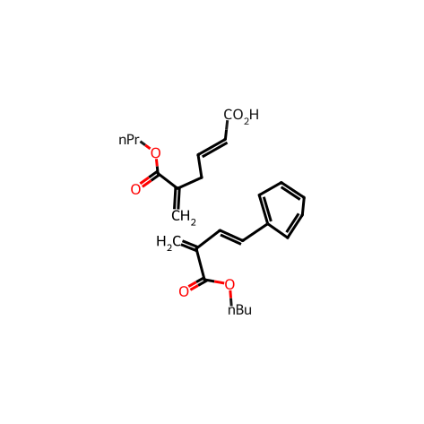 C=C(C=Cc1ccccc1)C(=O)OCCCC.C=C(CC=CC(=O)O)C(=O)OCCC